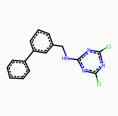 Clc1nc(Cl)nc(NCc2cccc(-c3ccccc3)c2)n1